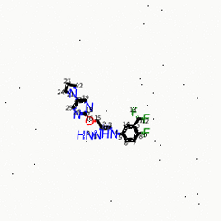 N=N/C(=C\Nc1ccc(F)c(C(F)F)c1)COc1ncc(N2CCC2)cn1